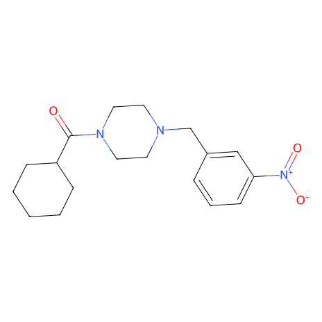 O=C(C1CCCCC1)N1CCN(Cc2cccc([N+](=O)[O-])c2)CC1